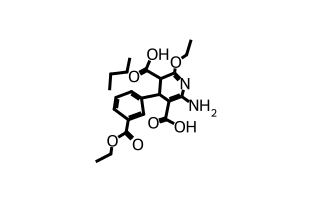 CCCC.CCOC(=O)c1cccc(C2C(C(=O)O)=C(N)N=C(OCC)C2C(=O)O)c1